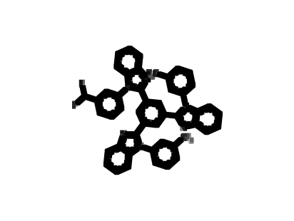 FC(F)c1cccc(-n2c(-c3cc(-c4nc5ccccc5n4-c4cccc(C(F)(F)F)c4)cc(-c4nc5ccccc5n4-c4cccc(C(F)(F)F)c4)c3)nc3ccccc32)c1